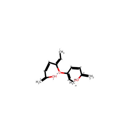 C=C(O)/C=C\C(=C/C)OC(/C=C\C(=C)O)=C/C